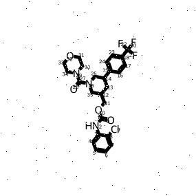 O=C(Nc1ccccc1Cl)OCC1CC(c2ccc(C(F)(F)F)cc2)CN(C(=O)N2CCOCC2)C1